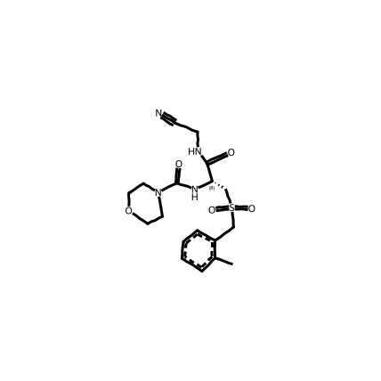 Cc1ccccc1CS(=O)(=O)C[C@H](NC(=O)N1CCOCC1)C(=O)NCC#N